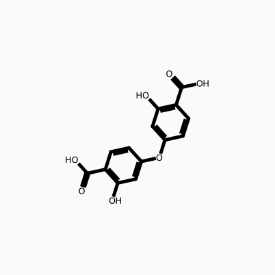 O=C(O)c1ccc(Oc2ccc(C(=O)O)c(O)c2)cc1O